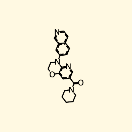 O=C(c1cnc2c(c1)OCCN2c1ccc2ccncc2c1)N1CCCCC1